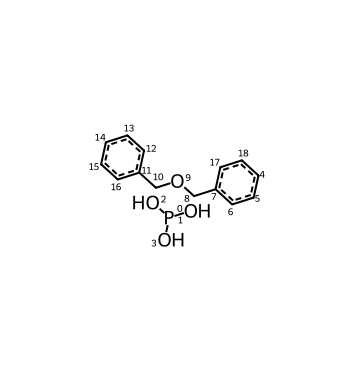 OP(O)O.c1ccc(COCc2ccccc2)cc1